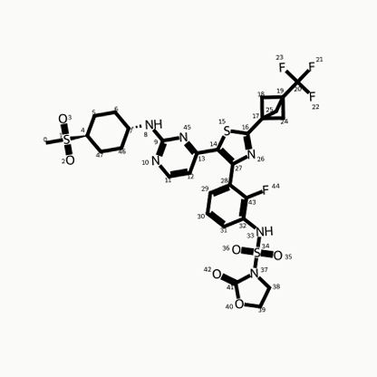 CS(=O)(=O)[C@H]1CC[C@H](Nc2nccc(-c3sc(C45CC(C(F)(F)F)(C4)C5)nc3-c3cccc(NS(=O)(=O)N4CCOC4=O)c3F)n2)CC1